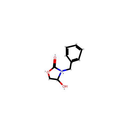 O=C1OCC(O)N1Cc1ccccc1